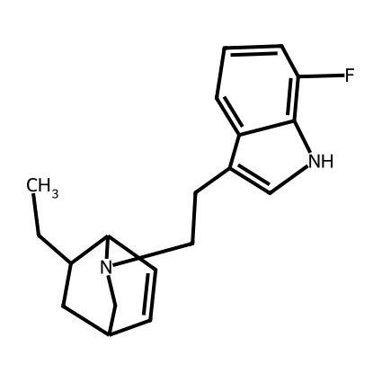 CCC1CC2C=CC1N(CCc1c[nH]c3c(F)cccc13)C2